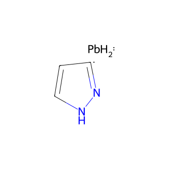 [PbH2].[c]1cc[nH]n1